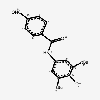 CC(C)(C)c1cc(NC(=O)c2ccc(C=O)cc2)cc(C(C)(C)C)c1O